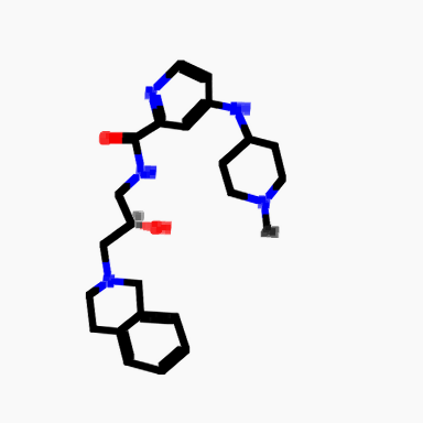 CC(=O)N1CCC(Nc2ccnc(C(=O)NC[C@H](O)CN3CCc4ccccc4C3)c2)CC1